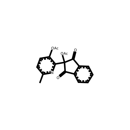 CC(=O)Oc1ccc(C)nc1C1(OC(C)=O)C(=O)c2ccccc2C1=O